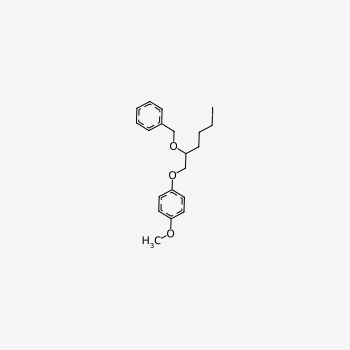 COc1ccc(OCC(CCCI)OCc2ccccc2)cc1